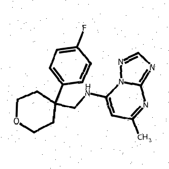 Cc1cc(NCC2(c3ccc(F)cc3)CCOCC2)n2ncnc2n1